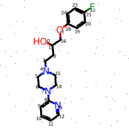 OC(CCN1CCN(c2ccccn2)CC1)COc1ccc(F)cc1